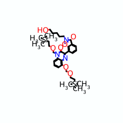 C[Si](C)(C)CCOCOc1cccc2c1nc(-c1cccc3c(=O)n(CCCCCO)oc13)c(=O)n2COCC[Si](C)(C)C